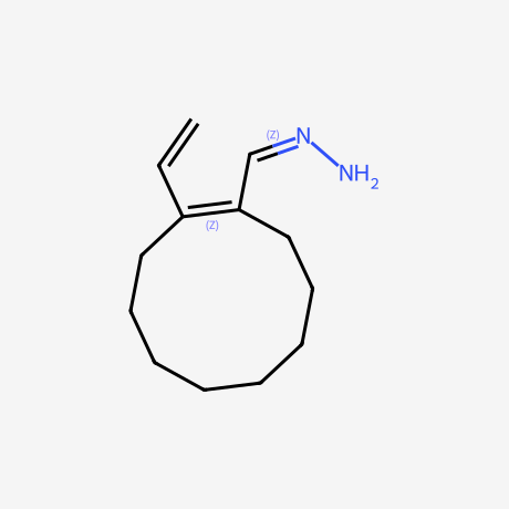 C=C/C1=C(\C=N/N)CCCCCCCC1